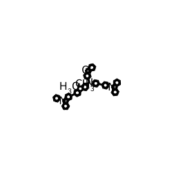 CC1(C)c2cc(-c3ccc4c(c3)c3ccccc3n4-c3ccccc3)ccc2-c2ccc(N(c3ccc(-c4ccc(-n5c6ccccc6c6ccccc65)cc4)cc3)c3ccc4oc5ccccc5c4c3)cc21